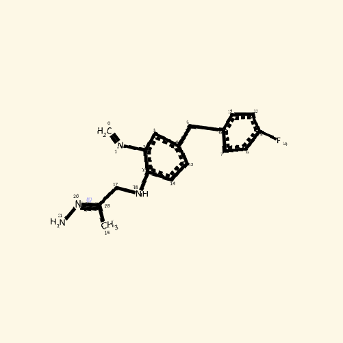 C=Nc1cc(Cc2ccc(F)cc2)ccc1NC/C(C)=N/N